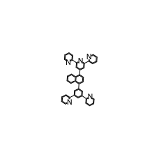 c1ccc(-c2cc(-c3ccccn3)cc(-c3ccc(-c4cc(-c5ccccn5)nc(-c5ccccn5)c4)c4ccccc34)c2)nc1